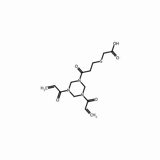 C=CC(=O)N1CN(C(=O)C=C)CN(C(=O)CCSCC(=O)O)C1